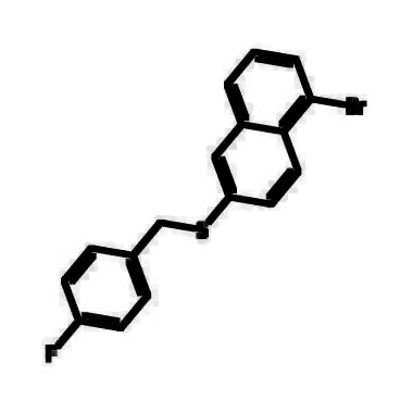 Fc1ccc(CSc2ccc3c(Br)cccc3c2)cc1